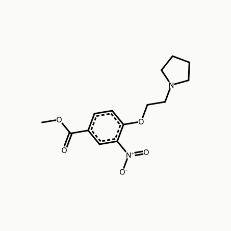 COC(=O)c1ccc(OCCN2CCCC2)c([N+](=O)[O-])c1